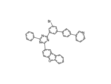 Brc1cc(-c2ccc(-c3cccnc3)cc2)cc(-c2nc(-c3ccccc3)nc(-c3ccc4oc5ccccc5c4c3)n2)c1